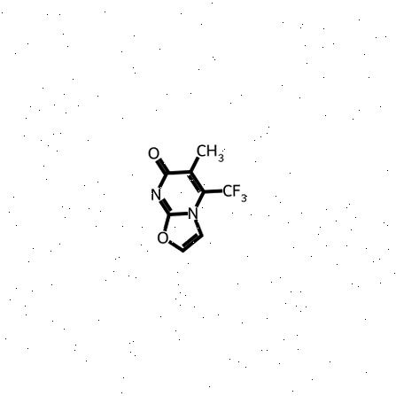 Cc1c(C(F)(F)F)n2ccoc2nc1=O